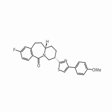 COc1ccc(-c2csc([C@H]3CC[C@H]4CCc5cc(F)ccc5C(=O)N4C3)n2)cc1